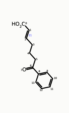 O=C(O)/C=C/CCCC(=O)c1ccccc1